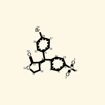 CS(=O)(=O)c1ccc(C(=C2CCOC2=O)c2ccc(Br)cc2)cc1